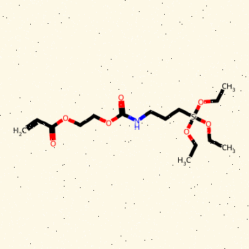 C=CC(=O)OCCOC(=O)NCCC[Si](OCC)(OCC)OCC